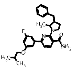 CC(C)COc1cc(F)cc(-c2ccc(C(N)=O)c(N3CCC(Cc4ccccc4)C3C)n2)c1